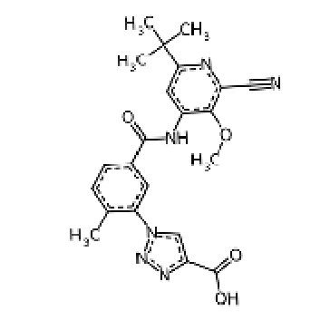 COc1c(NC(=O)c2ccc(C)c(-n3cc(C(=O)O)nn3)c2)cc(C(C)(C)C)nc1C#N